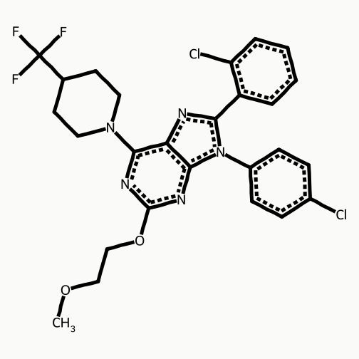 COCCOc1nc(N2CCC(C(F)(F)F)CC2)c2nc(-c3ccccc3Cl)n(-c3ccc(Cl)cc3)c2n1